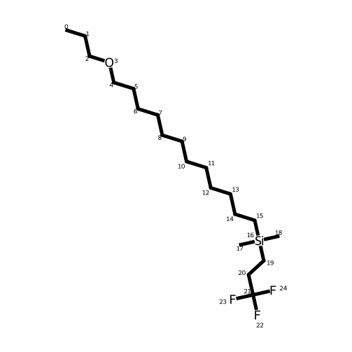 CCCOCCCCCCCCCCCC[Si](C)(C)CCC(F)(F)F